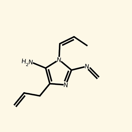 C=CCc1nc(N=C)n(/C=C\C)c1N